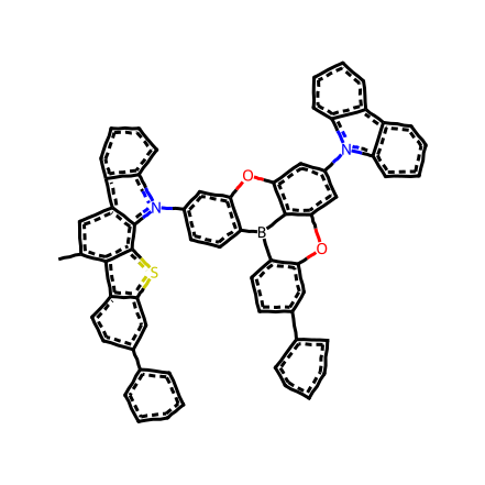 Cc1cc2c3ccccc3n(-c3ccc4c(c3)Oc3cc(-n5c6ccccc6c6ccccc65)cc5c3B4c3ccc(-c4ccccc4)cc3O5)c2c2sc3cc(-c4ccccc4)ccc3c12